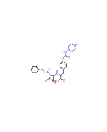 COC(=O)[C@H](Cc1ccc(OC(=O)NN2CCN(C)CC2)cc1)Nc1c(N(C)CCc2ccccc2)c(=O)c1=O